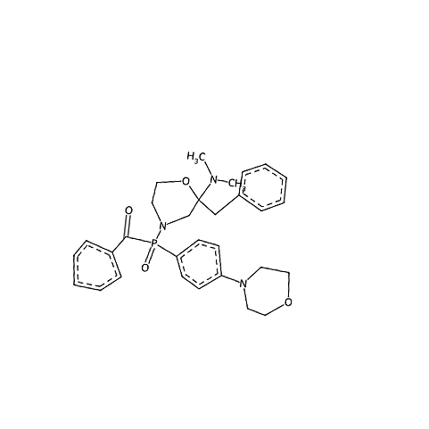 CN(C)C1(Cc2ccccc2)CN(P(=O)(C(=O)c2ccccc2)c2ccc(N3CCOCC3)cc2)CCO1